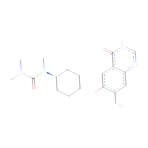 COc1cc2nc[nH]c(=O)c2cc1O[C@H]1CC[C@H](N(C)C(=O)N(C)C)CC1